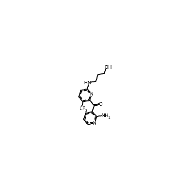 Nc1ncccc1C(=O)c1nc(NCCCO)ccc1C(F)(F)F